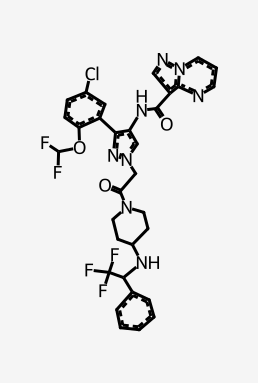 O=C(Nc1cn(CC(=O)N2CCC(NC(c3ccccc3)C(F)(F)F)CC2)nc1-c1cc(Cl)ccc1OC(F)F)c1cnn2cccnc12